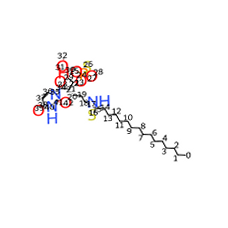 CCCCCCCCCCCCCCCC(=S)NCCC[C@H]1C(OP(O)(=S)OC)[C@@H](COC)O[C@H]1n1ccc(=O)[nH]c1=O